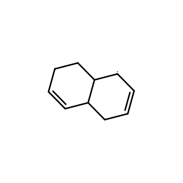 [CH]1C=CCC2C=CCCC12